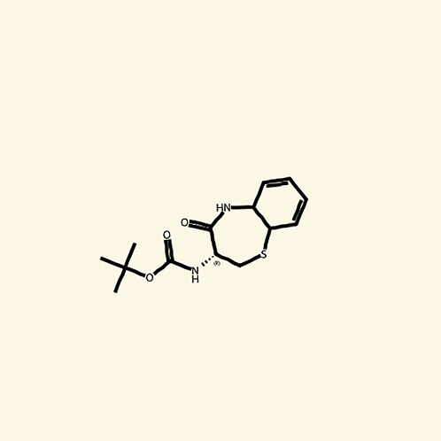 CC(C)(C)OC(=O)N[C@H]1CSC2C=CC=CC2NC1=O